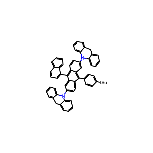 CC(C)(C)c1ccc(-c2c3cc(N4c5ccccc5Cc5ccccc54)ccc3c(-c3cccc4ccccc34)c3cc(N4c5ccccc5Cc5ccccc54)ccc23)cc1